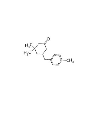 Cc1ccc(CC2CC(=O)CC(C)(C)C2)cc1